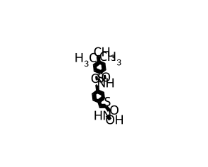 CC(C)(C)c1ccc(S(=O)(=O)NCc2ccc3cc(C(=O)NO)sc3c2)cc1